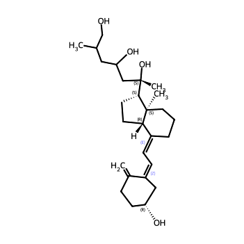 C=C1CC[C@@H](O)C/C1=C/C=C1\CCC[C@@]2(C)[C@H]1CC[C@@H]2[C@@](C)(O)CC(O)CC(C)CO